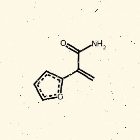 C=C(C(N)=O)c1ccco1